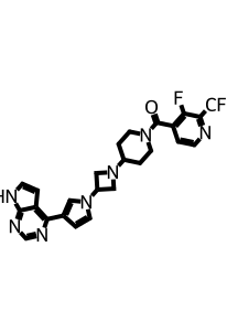 O=C(c1ccnc(C(F)(F)F)c1F)N1CCC(N2CC(n3ccc(-c4ncnc5[nH]ccc45)c3)C2)CC1